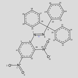 O=[N+]([O-])c1ccc(/N=N/C(c2ccccc2)(c2ccccc2)c2ccccc2)c([N+](=O)[O-])c1